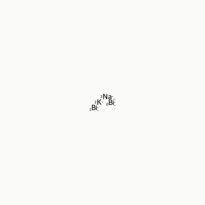 [Bi].[Bi].[K].[Na]